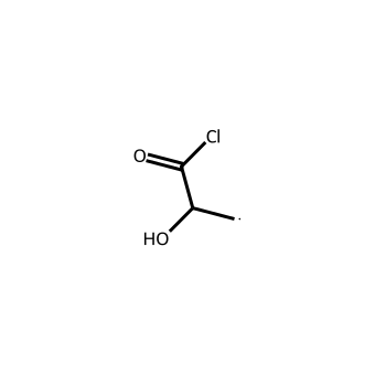 [CH2]C(O)C(=O)Cl